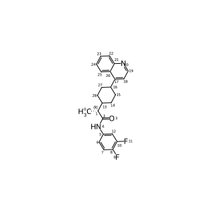 C[C@@H](C(=O)Nc1ccc(F)c(F)c1)C1CCC(c2ccnc3ccccc23)CC1